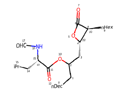 CCCCCCCCCCCC(C[C@@H]1OC(=O)[C@H]1CCCCCC)OC(=O)[C@H](CC(C)C)NC=O